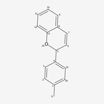 Cc1ccc(C2C=Cc3ccccc3O2)cc1